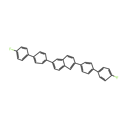 Fc1ccc(-c2ccc(-c3ccc4cc(-c5ccc(-c6ccc(F)cc6)cc5)ccc4c3)cc2)cc1